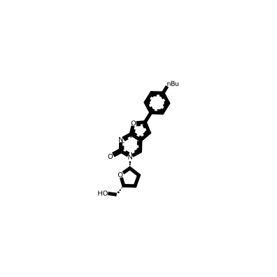 CCCCc1ccc(-c2cc3cn([C@@H]4CC[C@H](CO)O4)c(=O)nc3o2)cc1